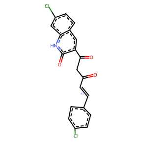 O=C(/C=C/c1ccc(Cl)cc1)CC(=O)c1cc2ccc(Cl)cc2[nH]c1=O